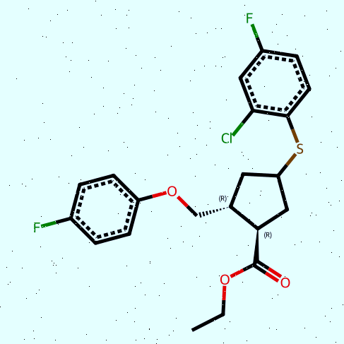 CCOC(=O)[C@@H]1CC(Sc2ccc(F)cc2Cl)C[C@H]1COc1ccc(F)cc1